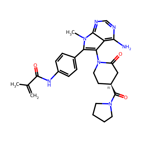 C=C(C)C(=O)Nc1ccc(-c2c(N3CC[C@H](C(=O)N4CCCC4)CC3=O)c3c(N)ncnc3n2C)cc1